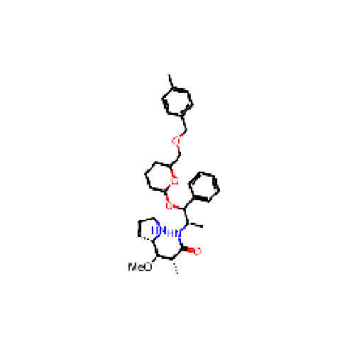 CO[C@@H]([C@@H]1CCCN1)[C@@H](C)C(=O)N[C@H](C)[C@@H](OC1CCCC(COCc2ccc(C)cc2)O1)c1ccccc1